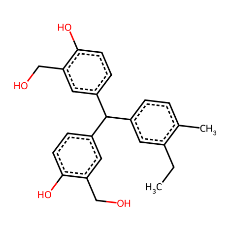 CCc1cc(C(c2ccc(O)c(CO)c2)c2ccc(O)c(CO)c2)ccc1C